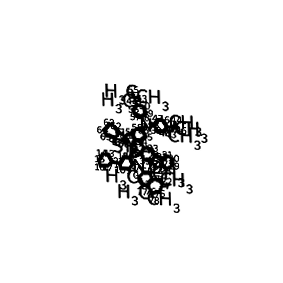 Cc1cc2c(cc1N1c3ccc(-c4ccccc4)cc3B3c4c(cc5c(oc6ccccc65)c41)-c1cc(N(c4ccc(C(C)(C)C)cc4)c4ccc(C(C)(C)C)cc4)cc4c5c6ccccc6sc5n3c14)C(C)(C)CCC2(C)C